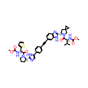 COC(=O)N[C@H](C(=O)N1CC2(CC2)C[C@H]1c1nc2ccc(C#Cc3ccc(-c4cnc([C@@H]5CCCN5C(=O)[C@H](NC(=O)OC)c5cccs5)[nH]4)cc3)cc2[nH]1)C(C)C